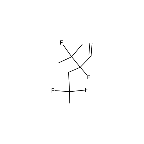 C=CC(F)(CC(C)(F)F)C(C)(C)F